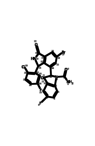 NC(=O)N1c2ccc(F)cc2C(=O)C1c1cc(Br)cc2c1C(c1cc(F)ccc1Cl)NC2=O